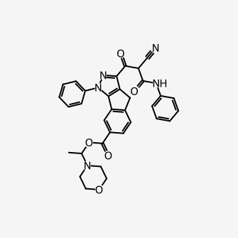 CC(OC(=O)c1ccc2c(c1)-c1c(c(C(=O)C(C#N)C(=O)Nc3ccccc3)nn1-c1ccccc1)C2)N1CCOCC1